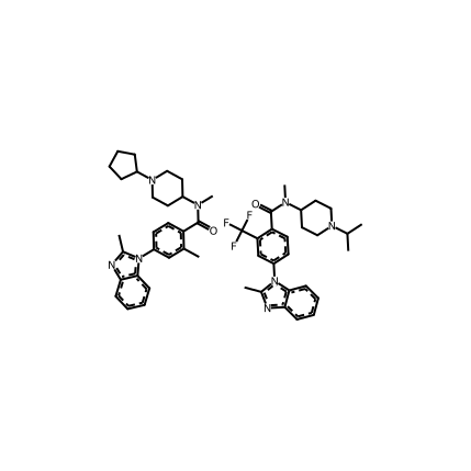 Cc1cc(-n2c(C)nc3ccccc32)ccc1C(=O)N(C)C1CCN(C2CCCC2)CC1.Cc1nc2ccccc2n1-c1ccc(C(=O)N(C)C2CCN(C(C)C)CC2)c(C(F)(F)F)c1